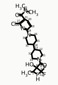 CC1PC(F)(F)C1(O)C(=O)N1CCC(C2CCN(c3ccc(C(=O)N(C)C)c(Cl)n3)CC2)CC1